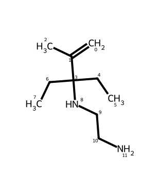 C=C(C)C(CC)(CC)NCCN